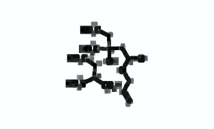 C=CCOC(=O)CC(O)(CC(=O)O)C(=O)O.O=C(O)CC(C(=O)O)S(=O)(=O)O